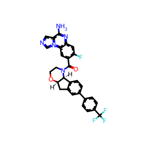 Nc1nc2cc(F)c(C(=O)N3CCO[C@@H]4Cc5cc(-c6ccc(C(F)(F)F)cc6)ccc5[C@@H]43)cc2n2cncc12